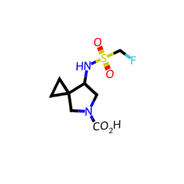 O=C(O)N1CC(NS(=O)(=O)CF)C2(CC2)C1